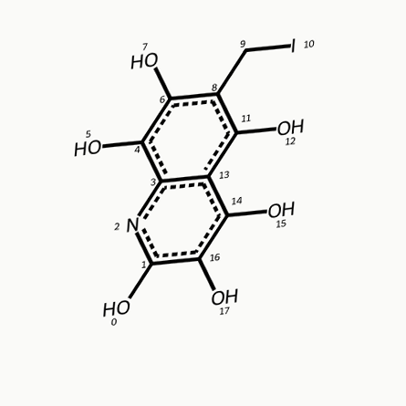 Oc1nc2c(O)c(O)c(CI)c(O)c2c(O)c1O